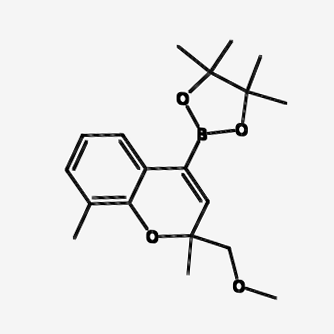 COCC1(C)C=C(B2OC(C)(C)C(C)(C)O2)c2cccc(C)c2O1